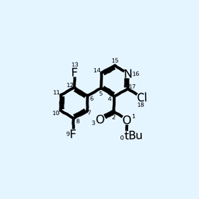 CC(C)(C)OC(=O)c1c(-c2cc(F)ccc2F)ccnc1Cl